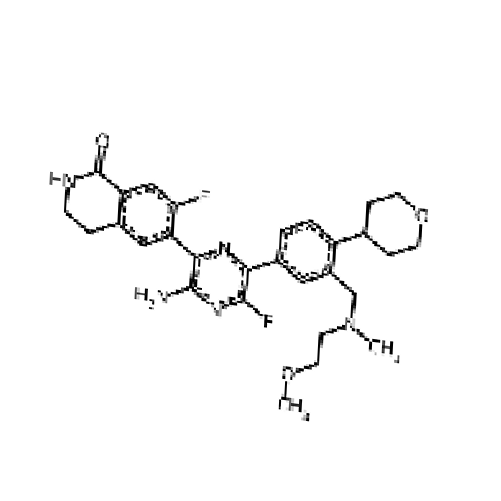 COCCN(C)Cc1cc(-c2nc(-c3cc4c(cc3F)C(=O)NCC4)c(N)nc2F)ccc1C1CCOCC1